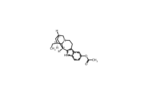 CC[C@H]1C[C@H]2C[C@H]3c4[nH]c5ccc(OC(C)=O)cc5c4CCN(C2)C13